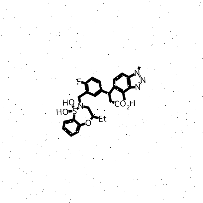 CCC1CN(Cc2cc(C(CC(=O)O)c3ccc4c(nnn4C)c3C)ccc2F)S(O)(O)c2ccccc2O1